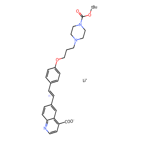 CC(C)(C)OC(=O)N1CCN(CCCOc2ccc(/C=C/c3ccc4nccc(C(=O)[O-])c4c3)cc2)CC1.[Li+]